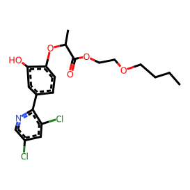 CCCCOCCOC(=O)C(C)Oc1ccc(-c2ncc(Cl)cc2Cl)cc1O